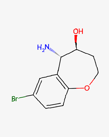 N[C@H]1c2cc(Br)ccc2OCC[C@@H]1O